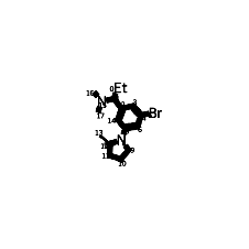 CCC(c1cc(Br)cc(N2CCC[C@H]2C)c1)N(C)C